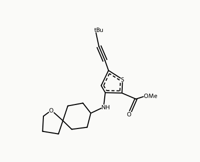 COC(=O)c1sc(C#CC(C)(C)C)cc1NC1CCC2(CCCO2)CC1